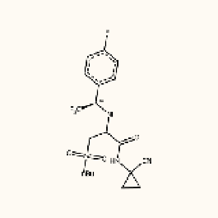 CCCCS(=O)(=O)CC(N[C@H](c1ccc(F)cc1)C(F)(F)F)C(=O)NC1(C#N)CC1